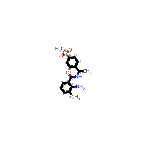 Cc1cccc(C(=O)NC(C)c2ccc(S(C)(=O)=O)cc2)c1N